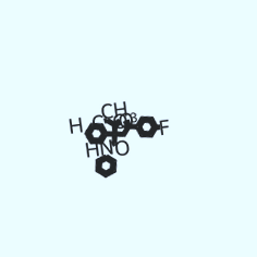 CC(C)C(=O)C(CC(=O)c1ccc(F)cc1)(C(=O)Nc1ccccc1)c1ccccc1